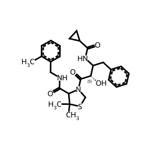 Cc1ccccc1CNC(=O)C1N(C(=O)[C@@H](O)C(Cc2ccccc2)NC(=O)C2CC2)CSC1(C)C